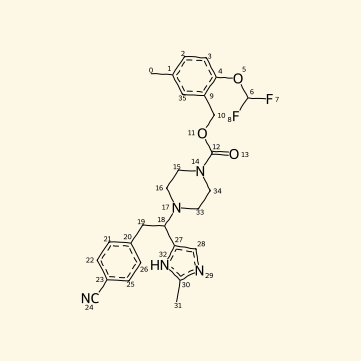 Cc1ccc(OC(F)F)c(COC(=O)N2CCN(C(Cc3ccc(C#N)cc3)c3cnc(C)[nH]3)CC2)c1